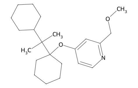 COCc1cc(OC2(C(C)(C)C3CCCCC3)CCCCC2)ccn1